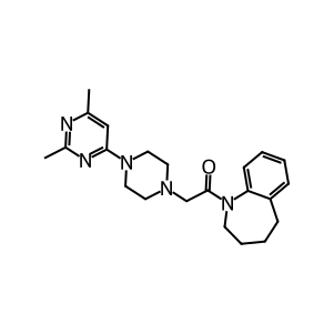 Cc1cc(N2CCN(CC(=O)N3CCCCc4ccccc43)CC2)nc(C)n1